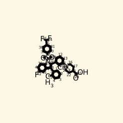 Cc1cccc(C)c1-c1c(-c2cccc(N3CCC(C(=O)O)CC3)c2)n(S(=O)(=O)c2ccc(C(F)F)cc2)c2ccc(F)cc12